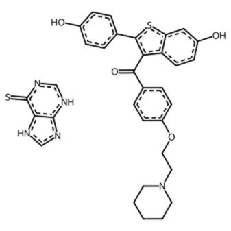 O=C(c1ccc(OCCN2CCCCC2)cc1)c1c(-c2ccc(O)cc2)sc2cc(O)ccc12.S=c1nc[nH]c2nc[nH]c12